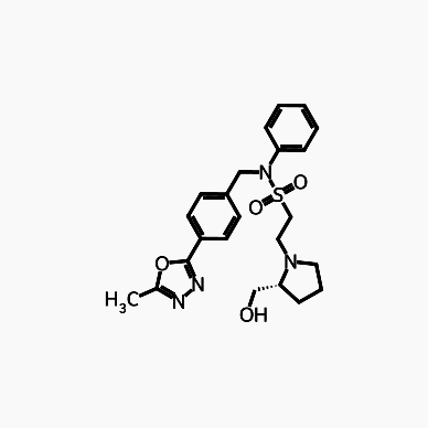 Cc1nnc(-c2ccc(CN(c3ccccc3)S(=O)(=O)CCN3CCC[C@@H]3CO)cc2)o1